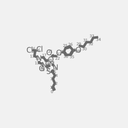 C=CCCCc1nnc([N+]2([O-])CN(CC(Cl)Cl)CC2OC(=O)COc2ccc(OCCCCCC)cc2)s1